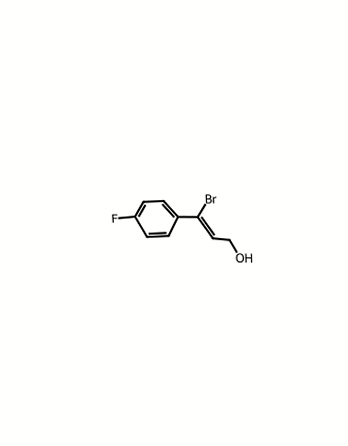 OC/C=C(\Br)c1ccc(F)cc1